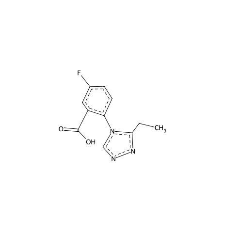 CCc1nncn1-c1ccc(F)cc1C(=O)O